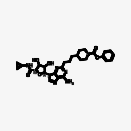 Nc1nc(CCCC2CCN(C(=O)Oc3ccccc3)CC2)nc2c1ncn2[C@@H]1O[C@H](C(=O)NC2CC2)C(O)C1O